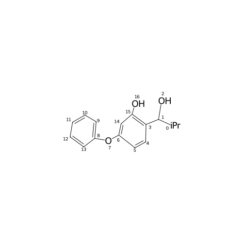 CC(C)C(O)c1ccc(Oc2ccccc2)cc1O